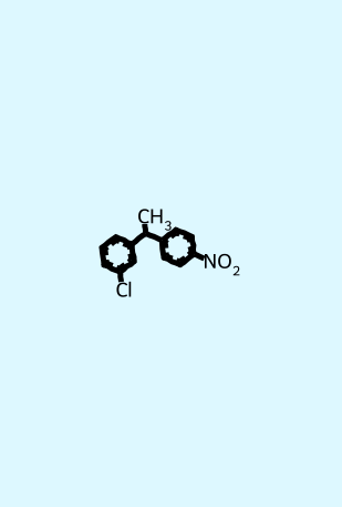 CC(c1ccc([N+](=O)[O-])cc1)c1cccc(Cl)c1